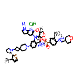 CC(C)c1ccsc1[C@@H]1CCCN1C1CC2(CCN(c3ccc(C(=O)NS(=O)(=O)c4ccc(NCC5CCOCC5)c([N+](=O)[O-])c4)c(N4c5cc6cc[nH]c6nc5O[C@@H]5COC[C@H]54)c3)CC2)C1.Cl